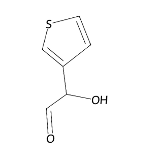 O=CC(O)c1ccsc1